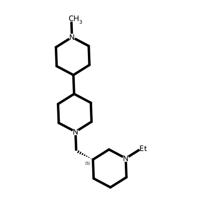 CCN1CCC[C@H](CN2CCC(C3CCN(C)CC3)CC2)C1